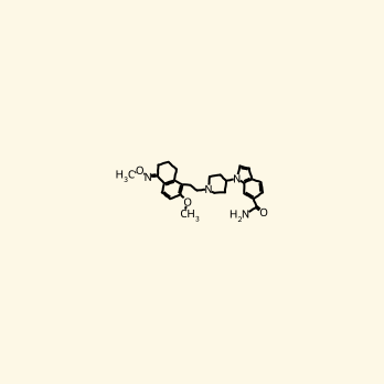 CO/N=C1\CCCc2c1ccc(OC)c2CCN1CCC(n2ccc3ccc(C(N)=O)cc32)CC1